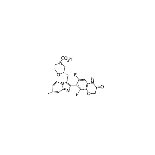 Cc1ccn2c(C[C@H]3CN(C(=O)O)CCO3)c(-c3c(F)cc4c(c3F)OCC(=O)N4)nc2c1